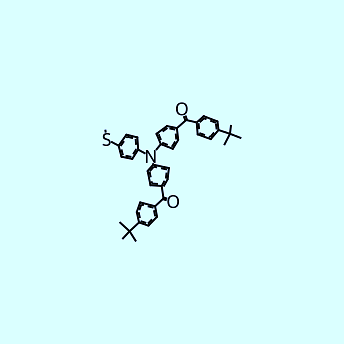 CSc1ccc(N(c2ccc(C(=O)c3ccc(C(C)(C)C)cc3)cc2)c2ccc(C(=O)c3ccc(C(C)(C)C)cc3)cc2)cc1